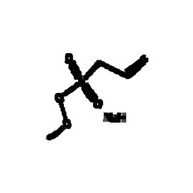 C=CCS(=O)(=O)OOC.[NaH]